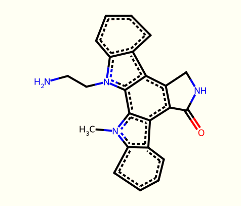 Cn1c2ccccc2c2c3c(c4c5ccccc5n(CCN)c4c21)CNC3=O